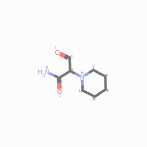 NC(=O)C([C]=O)N1CCCCC1